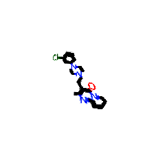 Cc1nc2ccccn2c(=O)c1CCN1CCN(c2cccc(Cl)c2)CC1